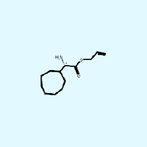 C=CCOC(=O)[C@@H](N)C1CCCCCCC1